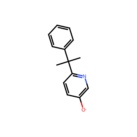 CC(C)(c1ccccc1)c1ccc([O])cn1